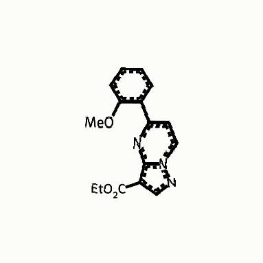 CCOC(=O)c1cnn2ccc(-c3ccccc3OC)nc12